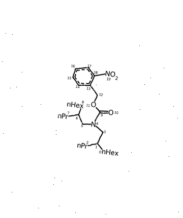 CCCCCCC(CCC)CN(CC(CCC)CCCCCC)C(=O)OCc1ccccc1[N+](=O)[O-]